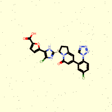 O=C(O)c1ccc(-c2[nH]c([C@@H]3CCc4cc(-c5cc(Cl)ccc5-n5cnnn5)cc(=O)n43)nc2Cl)o1